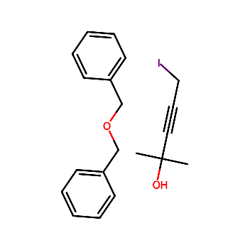 CC(C)(O)C#CCI.c1ccc(COCc2ccccc2)cc1